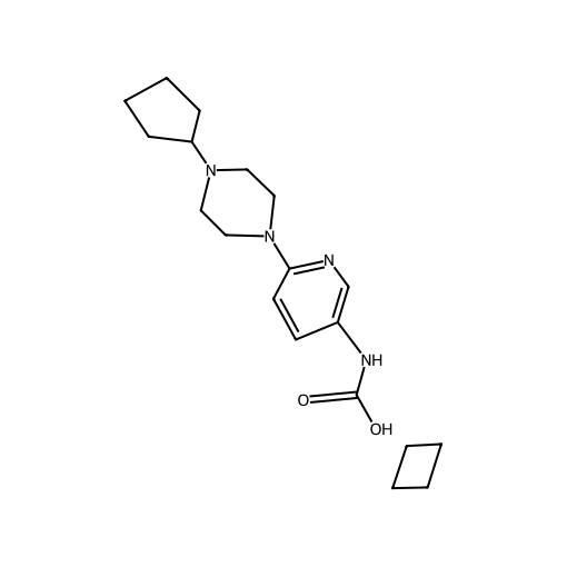 C1CCC1.O=C(O)Nc1ccc(N2CCN(C3CCCC3)CC2)nc1